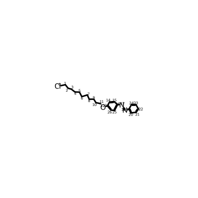 ClCCCCCCCCCCCOc1ccc(N=Nc2ccccc2)cc1